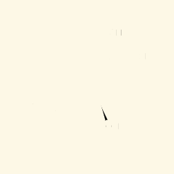 CC(=O)[C@@H]1CCC(C)(C)C[C@H]1O